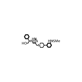 CSNc1cccc(C2CCN(C/C(=C/NC(CO)c3ccccc3)N=N)CC2)c1